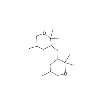 CC1COC(C)(C)C(CC2CC(C)COC2(C)C)C1